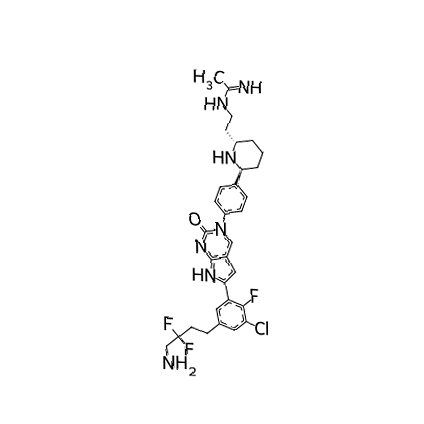 CC(=N)NCC[C@@H]1CCC[C@@H](c2ccc(-n3cc4cc(-c5cc(CCC(F)(F)CN)cc(Cl)c5F)[nH]c4nc3=O)cc2)N1